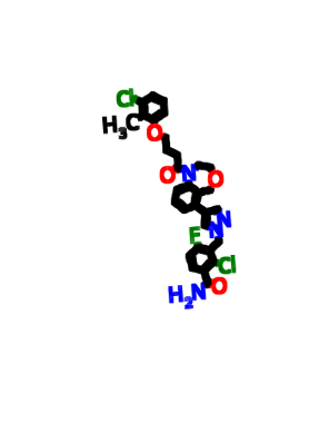 Cc1c(Cl)cccc1OCCCC(=O)N1CCOCc2c(-c3cnn(Cc4c(F)ccc(C(N)=O)c4Cl)c3)cccc21